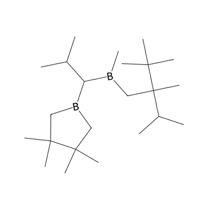 CB(CC(C)(C(C)C)C(C)(C)C)C(B1CC(C)(C)C(C)(C)C1)C(C)C